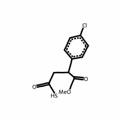 COC(=O)C(CC(=O)S)c1ccc(Cl)cc1